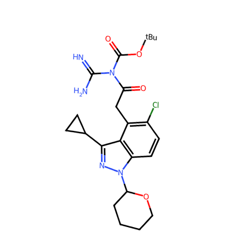 CC(C)(C)OC(=O)N(C(=N)N)C(=O)Cc1c(Cl)ccc2c1c(C1CC1)nn2C1CCCCO1